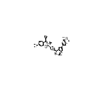 Cn1cc(-c2cc3c(N4CC(C(=O)N[C@H](c5ccc(Cl)cc5)C5CC5)C4)ncnn3c2)cn1